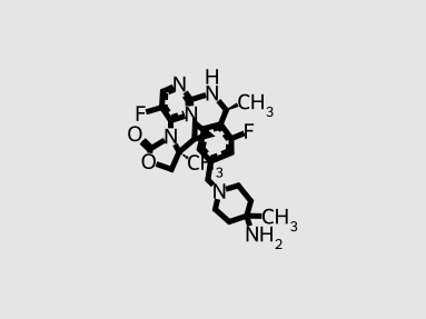 C[C@H](Nc1ncc(F)c(N2C(=O)OC[C@]2(C)C2CC2)n1)c1ccc(CN2CCC(C)(N)CC2)cc1F